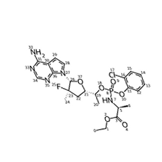 CCOC(=O)[C@H](C)NP(=O)(Oc1ccccc1Cl)OC(C)[C@@H]1C[C@@](C)(F)[C@H](n2ccc3c(N)ncnc32)O1